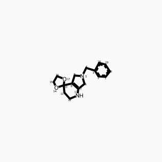 c1ccc(CN2CC3=C(C2)C2(CCN3)OCCO2)cc1